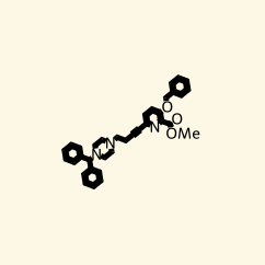 COC(=O)c1nc(C#CCCN2CCN(C(c3ccccc3)c3ccccc3)CC2)ccc1OCc1ccccc1